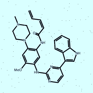 C=C/C=C\C(=O)Nc1cc(Nc2nccc(-c3c[nH]c4ccccc34)n2)c(OC)cc1N1CCN(C)CC1